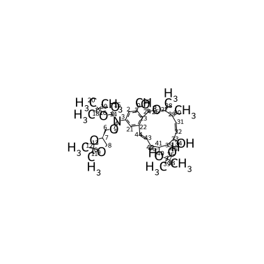 Cc1cc(N(OC[C@H]2COC(C)(C)O2)C(=O)OC(C)(C)C)cc2c1C(=O)O[C@@H](C)[C@H](C)/C=C\[C@@H](O)[C@H]1OC(C)(C)O[C@H]1C/C=C/2